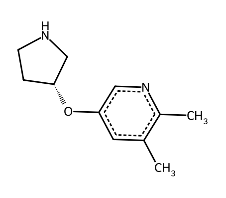 Cc1cc(O[C@@H]2CCNC2)cnc1C